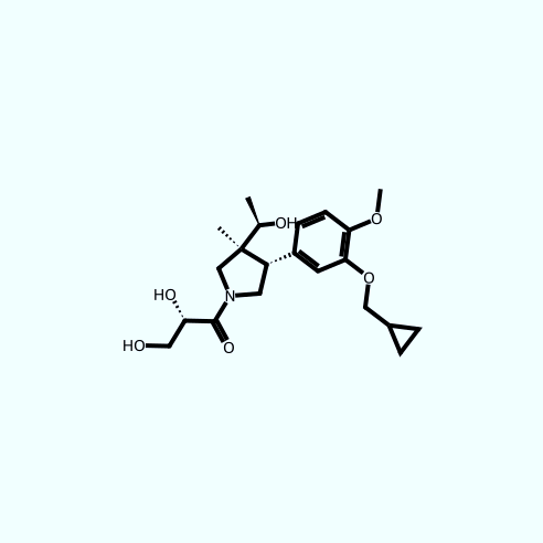 COc1ccc([C@@H]2CN(C(=O)[C@@H](O)CO)C[C@@]2(C)[C@@H](C)O)cc1OCC1CC1